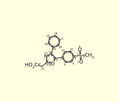 CS(=O)(=O)c1ccc(-c2oc(CC(=O)O)nc2-c2ccccc2)cc1